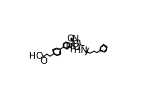 CN(C[C@H](O)CNC(C)(C)CCCc1ccccc1)S(=O)(=O)c1ccc(-c2ccc(CCC(=O)O)cc2)cc1F